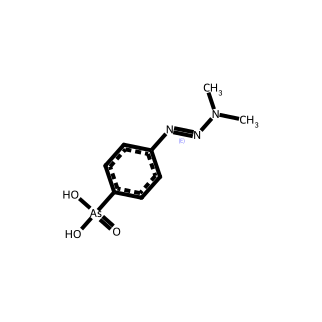 CN(C)/N=N/c1ccc([As](=O)(O)O)cc1